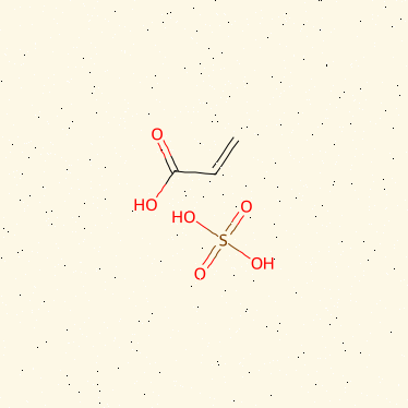 C=CC(=O)O.O=S(=O)(O)O